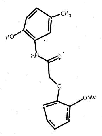 COc1ccccc1OCC(=O)Nc1cc(C)ccc1O